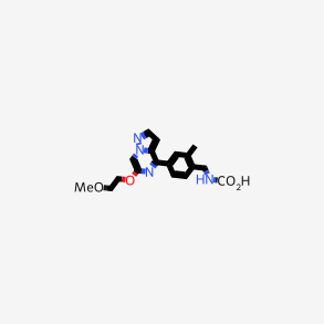 COCCOc1cn2nccc2c(-c2ccc(CNC(=O)O)c(C)c2)n1